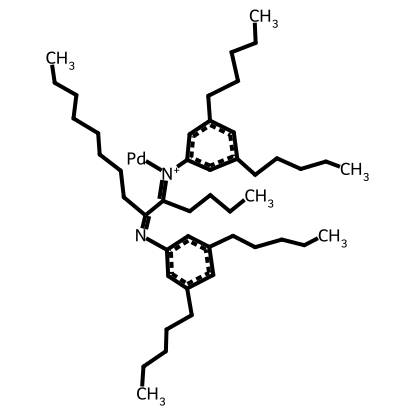 CCCCCCCCC(=Nc1cc(CCCCC)cc(CCCCC)c1)C(CCCC)=[N+]([Pd])c1cc(CCCCC)cc(CCCCC)c1